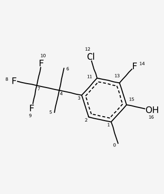 Cc1cc(C(C)(C)C(F)(F)F)c(Cl)c(F)c1O